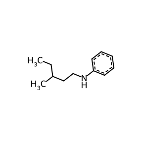 CCC(C)CCNc1ccccc1